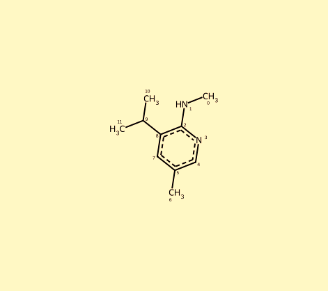 CNc1ncc(C)cc1C(C)C